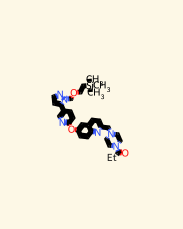 CCC(=O)N1CCN(Cc2ccc3cc(Oc4ccc(-c5ccnn5COCC[Si](C)(C)C)cn4)ccc3n2)CC1